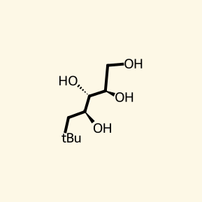 CC(C)(C)C[C@H](O)[C@H](O)[C@H](O)CO